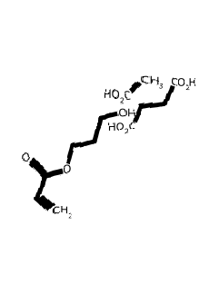 C=CC(=O)OCCCO.CC(=O)O.O=C(O)CCC(=O)O